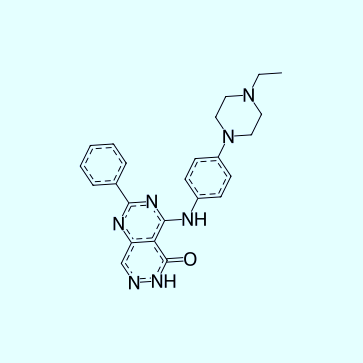 CCN1CCN(c2ccc(Nc3nc(-c4ccccc4)nc4cn[nH]c(=O)c34)cc2)CC1